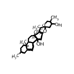 CC1CC[C@@]2(C)C(=CCC3C2CC[C@]2(C)C4C(CC32O)OC2(CC(O)C(C)CO2)[C@H]4C)C1